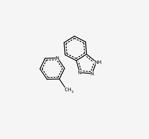 Cc1cccnc1.c1ccc2[nH]nnc2c1